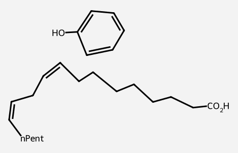 CCCCC/C=C\C/C=C\CCCCCCCC(=O)O.Oc1ccccc1